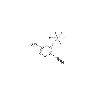 F[P-](F)(F)(F)(F)F.N#[N+]c1ccc([N+](=O)[O-])cc1